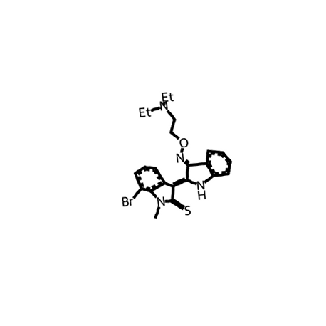 CCN(CC)CCO/N=C1/C(=C2/C(=S)N(C)c3c(Br)cccc32)Nc2ccccc21